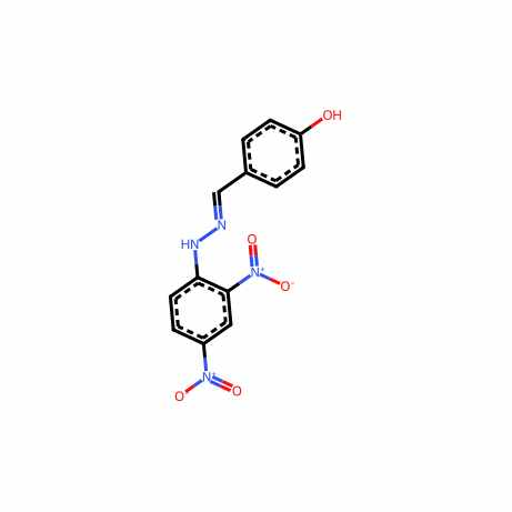 O=[N+]([O-])c1ccc(NN=Cc2ccc(O)cc2)c([N+](=O)[O-])c1